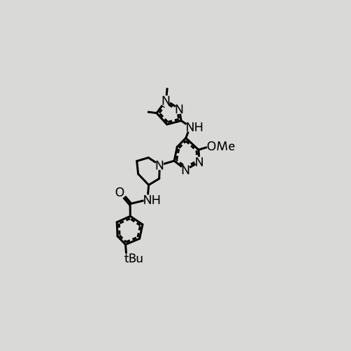 COc1nnc(N2CCCC(NC(=O)c3ccc(C(C)(C)C)cc3)C2)cc1Nc1cc(C)n(C)n1